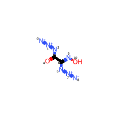 [N-]=[N+]=NC(=O)C(N=[N+]=[N-])=NO